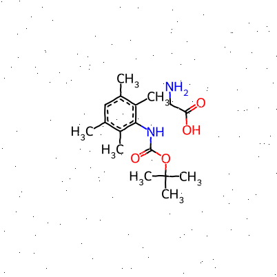 Cc1cc(C)c(C)c(NC(=O)OC(C)(C)C)c1C.NCC(=O)O